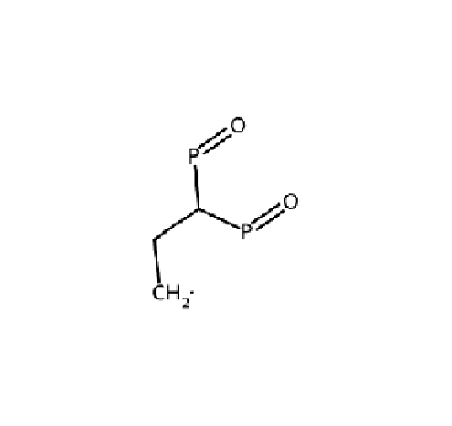 [CH2]CC(P=O)P=O